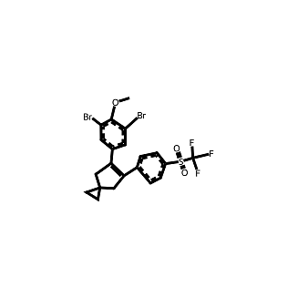 COc1c(Br)cc(C2=C(c3ccc(S(=O)(=O)C(F)(F)F)cc3)CC3(CC3)C2)cc1Br